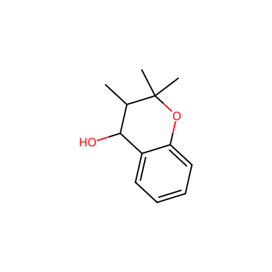 CC1C(O)c2ccccc2OC1(C)C